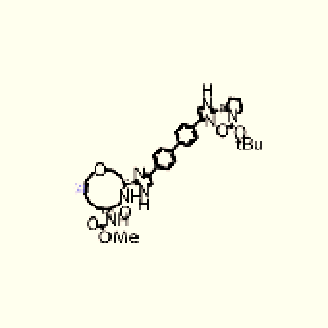 COC(=O)N[C@H]1CC/C=C\COCC[C@@H](c2nc(-c3ccc(-c4ccc(-c5c[nH]c([C@@H]6CCCN6C(=O)OC(C)(C)C)n5)cc4)cc3)c[nH]2)NC1=O